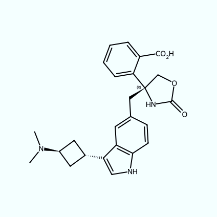 CN(C)[C@H]1C[C@H](c2c[nH]c3ccc(C[C@@]4(c5ccccc5C(=O)O)COC(=O)N4)cc32)C1